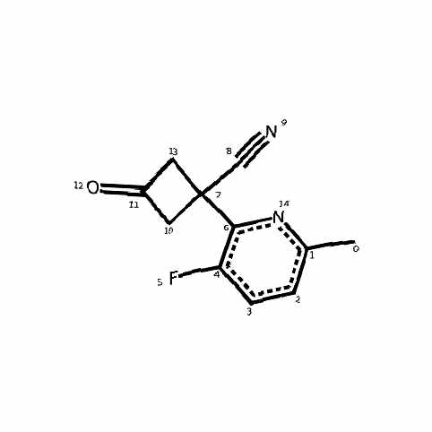 Cc1ccc(F)c(C2(C#N)CC(=O)C2)n1